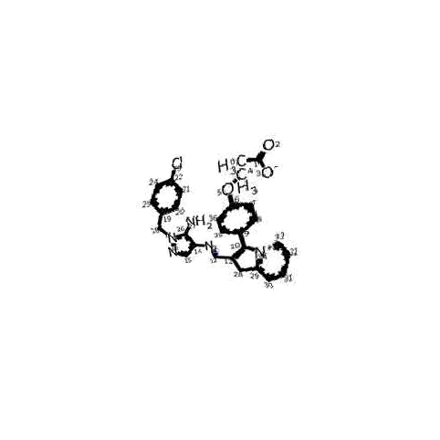 CC(=O)[O-].COc1ccc(C2=C(/C=N/c3cnn(Cc4ccc(Cl)cc4)c3N)Cc3cccc[n+]32)cc1